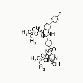 CC(C)(C)OC(=O)N=S(=O)(c1ccc(C(=O)Nc2cc(-c3ccc(F)cc3)ccc2NC(=O)OC(C)(C)C)cc1)c1cnc(O)nc1